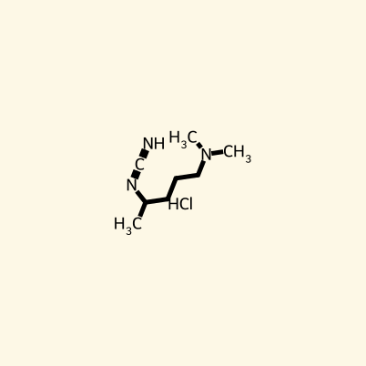 CC(CCCN(C)C)N=C=N.Cl